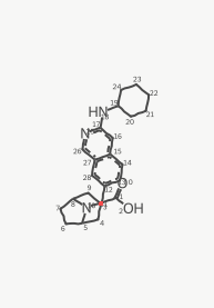 O=C(O)C1CC2CCC(C1)N2Cc1ccc2cc(NC3CCCCC3)ncc2c1